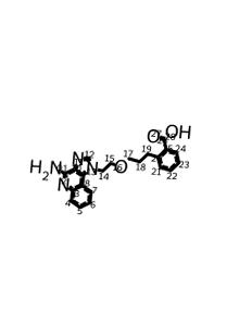 Nc1nc2ccccc2c2c1ncn2CCOCCCc1ccccc1C(=O)O